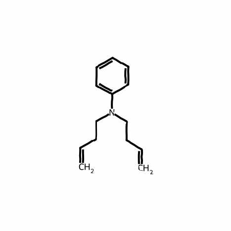 C=CCCN(CCC=C)c1ccccc1